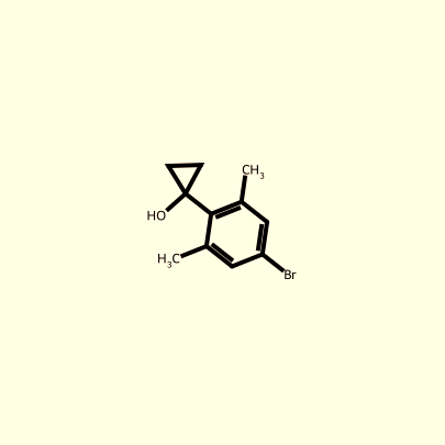 Cc1cc(Br)cc(C)c1C1(O)CC1